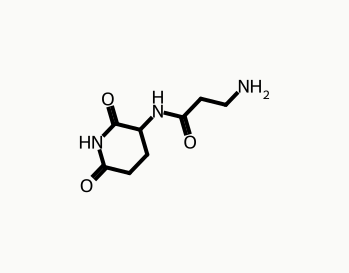 NCCC(=O)NC1CCC(=O)NC1=O